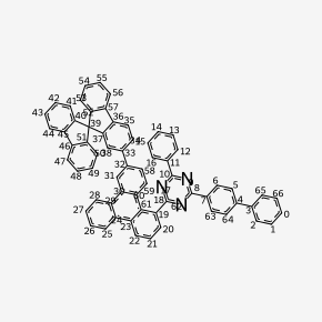 c1ccc(-c2ccc(-c3nc(-c4ccccc4)nc(-c4cccc5c6ccccc6c6cc(-c7ccc8c(c7)C7(c9ccccc9-c9ccccc97)c7ccccc7-8)ccc6c45)n3)cc2)cc1